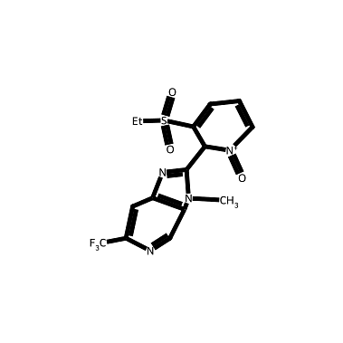 CCS(=O)(=O)C1=CC=C[N+](=O)C1c1nc2cc(C(F)(F)F)ncc2n1C